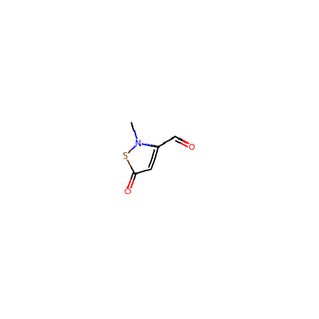 Cn1sc(=O)cc1C=O